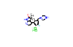 CC1(C)C(=O)Nc2nccc(-c3cc(F)cc(CN4CCNCC4)c3)c21.Cl.Cl